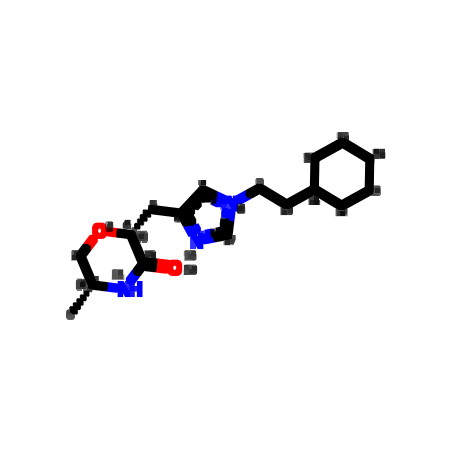 C[C@@H]1CO[C@H](Cc2cn(CCC3CCCCC3)cn2)C(=O)N1